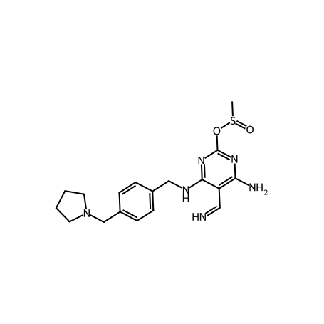 CS(=O)Oc1nc(N)c(C=N)c(NCc2ccc(CN3CCCC3)cc2)n1